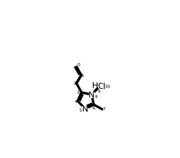 C=CCc1cnc(C)n1C.Cl